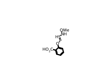 CON[SH]=POc1ccccc1C(=O)O